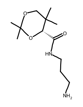 CC1(C)OCC(C)(C)[C@H](C(=O)NCCCN)O1